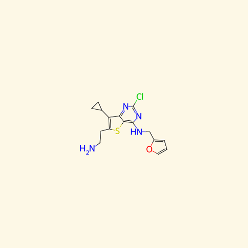 NCCc1sc2c(NCc3ccco3)nc(Cl)nc2c1C1CC1